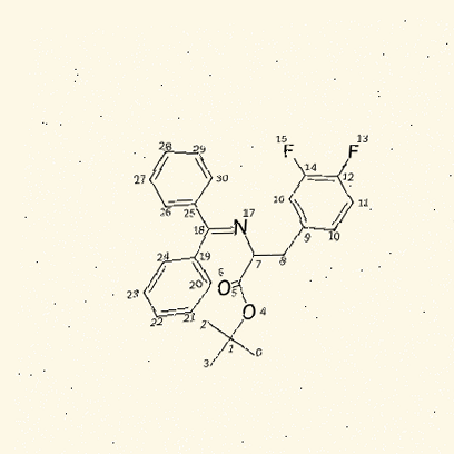 CC(C)(C)OC(=O)C(Cc1ccc(F)c(F)c1)N=C(c1ccccc1)c1ccccc1